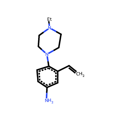 C=Cc1cc(N)ccc1N1CCN(CC)CC1